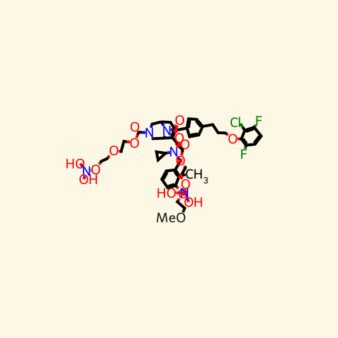 COCCOc1cccc(CN(C(=O)C2=C(c3ccc(CCCOc4c(F)ccc(F)c4Cl)cc3)CC3CN(C(=O)OCCOCCON(O)O)CC2N3C(=O)OCCOCCON(O)O)C2CC2)c1C